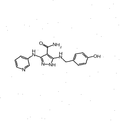 NC(=O)c1c(Nc2cccnc2)n[nH]c1NCc1ccc(O)cc1